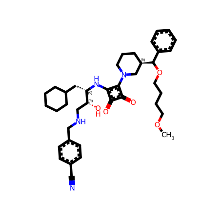 COCCCCOC(c1ccccc1)[C@@H]1CCCN(c2c(N[C@@H](CC3CCCCC3)[C@H](O)CNCc3ccc(C#N)cc3)c(=O)c2=O)C1